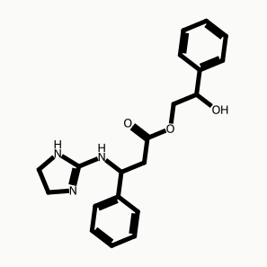 O=C(CC(NC1=NCCN1)c1ccccc1)OCC(O)c1ccccc1